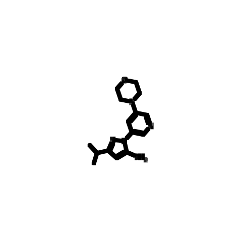 CC(C)c1cc(N)n(-c2cncc(N3CCOCC3)c2)n1